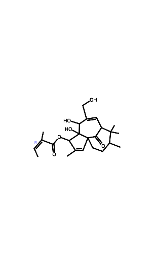 C/C=C(/C)C(=O)OC1C(C)=CC23CCC(C)C(C)(C)C(C=C(CO)C(O)C12O)C3=O